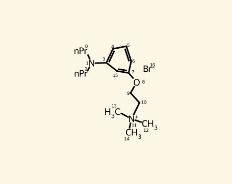 CCCN(CCC)c1cccc(OCC[N+](C)(C)C)c1.[Br-]